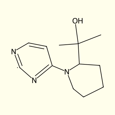 CC(C)(O)C1CCCCN1c1ccn[c]n1